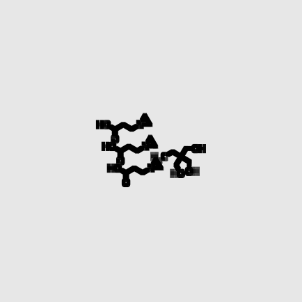 CCC(CO)(CO)CO.O=C(O)CCN1CC1.O=C(O)CCN1CC1.O=C(O)CCN1CC1